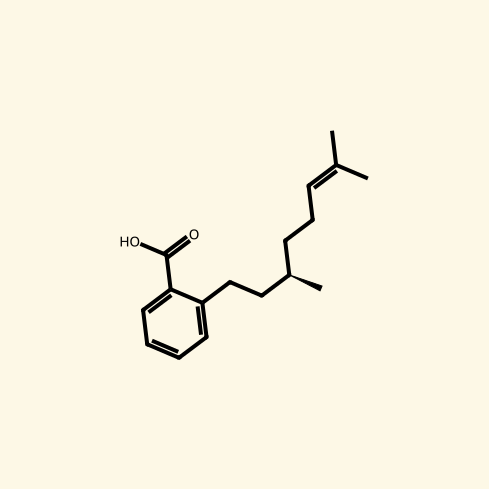 CC(C)=CCC[C@@H](C)CCc1ccccc1C(=O)O